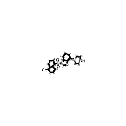 O=S(=O)(c1cccc2c(Cl)cccc12)n1cnc2c(N3CCNCC3)cccc21